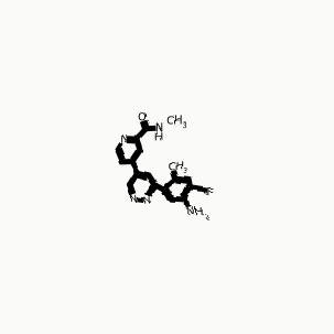 CNC(=O)c1cc(-c2cnnc(-c3cc(N)c(F)cc3C)c2)ccn1